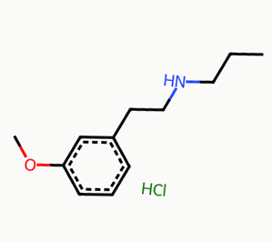 CCCNCCc1cccc(OC)c1.Cl